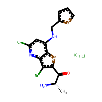 C[C@H](N)C(=O)c1sc2c(NCc3cccs3)cc(Cl)nc2c1Br.Cl.Cl